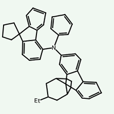 CCC1CC2CCCC(C1)C21c2ccccc2-c2ccc(N(c3ccccc3)c3cccc4c3-c3ccccc3C43CCCC3)cc21